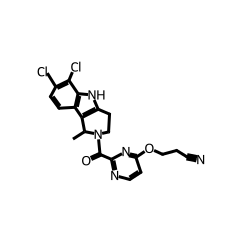 CC1c2c([nH]c3c(Cl)c(Cl)ccc23)CCN1C(=O)c1nccc(OCCC#N)n1